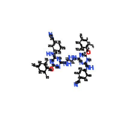 Cc1cc(C)c(Oc2nc(NCCNc3nc(Nc4cccc(C#N)c4)nc(Oc4c(C)cc(C)cc4C)n3)nc(Nc3ccc(C#N)cc3)n2)c(C)c1